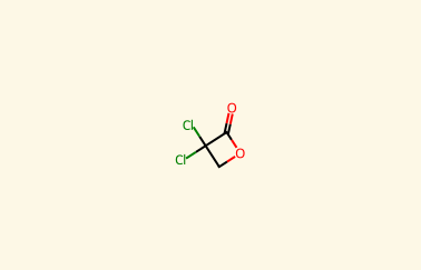 O=C1OCC1(Cl)Cl